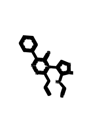 C=CCc1nnc(-c2ccccc2)c(=O)n1-c1cn[nH]c1NC=O